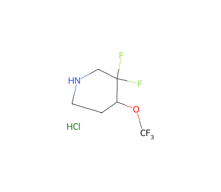 Cl.FC(F)(F)OC1CCNCC1(F)F